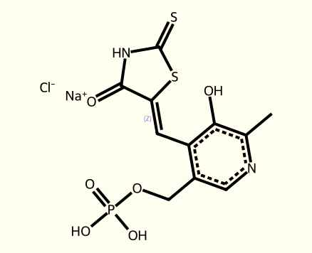 Cc1ncc(COP(=O)(O)O)c(/C=C2\SC(=S)NC2=O)c1O.[Cl-].[Na+]